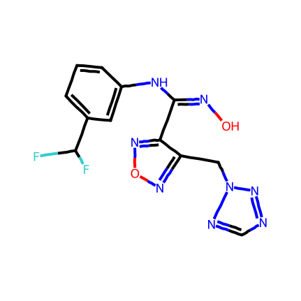 O/N=C(/Nc1cccc(C(F)F)c1)c1nonc1Cn1ncnn1